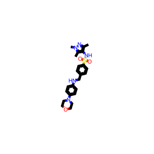 Cc1nn(C)c(C)c1NS(=O)(=O)c1ccc(CNc2ccc(N3CCOCC3)cc2)cc1